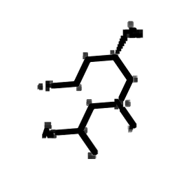 CCCC[C@@H](CCF)CN(C)CC(C)C(C)=O